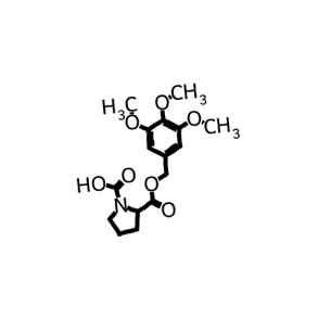 COc1cc(COC(=O)C2CCCN2C(=O)O)cc(OC)c1OC